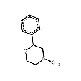 CN1CCOC(c2[c]cccc2)C1